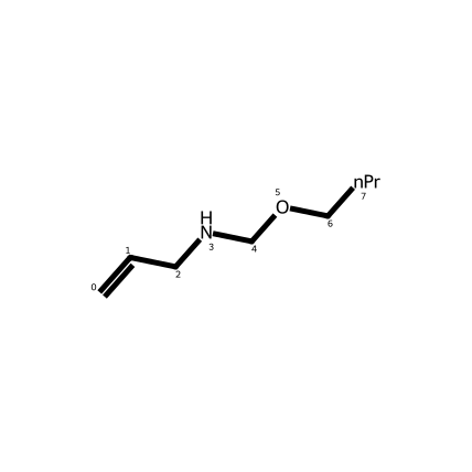 C=CCNCOCCCC